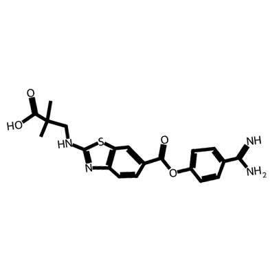 CC(C)(CNc1nc2ccc(C(=O)Oc3ccc(C(=N)N)cc3)cc2s1)C(=O)O